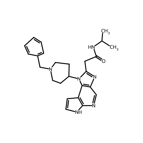 CC(C)NC(=O)Cc1nc2cnc3[nH]ccc3c2n1C1CCN(Cc2ccccc2)CC1